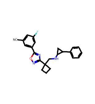 N#Cc1cc(F)cc(-c2nc(C3(CNC4CC4c4ccccc4)CCC3)no2)c1